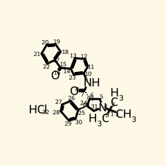 CC(C)(C)N1C[C@@H](C(=O)Nc2cccc(C(=O)c3ccccc3)c2)[C@H](c2ccccc2)C1.Cl